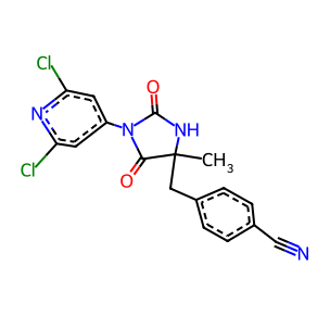 CC1(Cc2ccc(C#N)cc2)NC(=O)N(c2cc(Cl)nc(Cl)c2)C1=O